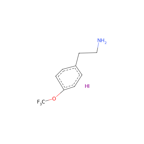 I.NCCc1ccc(OC(F)(F)F)cc1